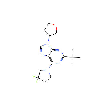 CC(C)(C)c1nc(N2CCC(F)(F)C2)c2ncn(C3CCOC3)c2n1